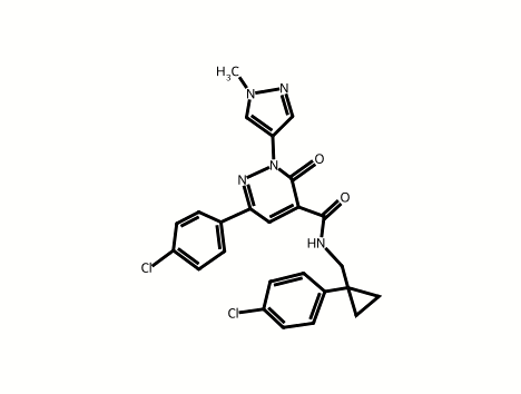 Cn1cc(-n2nc(-c3ccc(Cl)cc3)cc(C(=O)NCC3(c4ccc(Cl)cc4)CC3)c2=O)cn1